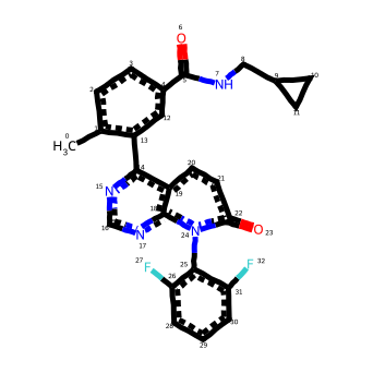 Cc1ccc(C(=O)NCC2CC2)cc1-c1ncnc2c1ccc(=O)n2-c1c(F)cccc1F